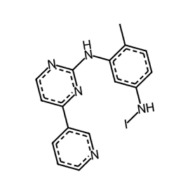 Cc1ccc(NI)cc1Nc1nccc(-c2cccnc2)n1